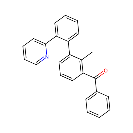 Cc1c(C(=O)c2ccccc2)cccc1-c1ccccc1-c1ccccn1